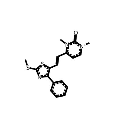 CSc1nc(-c2ccccc2)c(/C=C/c2cc[n+](C)c(=O)n2C)s1